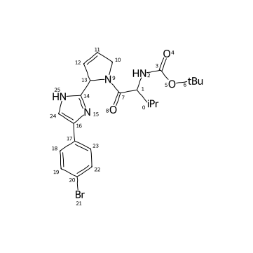 CC(C)C(NC(=O)OC(C)(C)C)C(=O)N1CC=CC1c1nc(-c2ccc(Br)cc2)c[nH]1